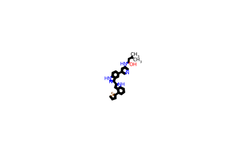 CC(C)CC(O)Nc1cncc(-c2ccc3[nH]nc(-c4cc5c(-c6cccs6)cccc5[nH]4)c3c2)c1